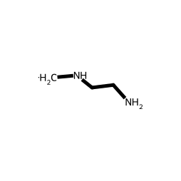 [CH2]NCCN